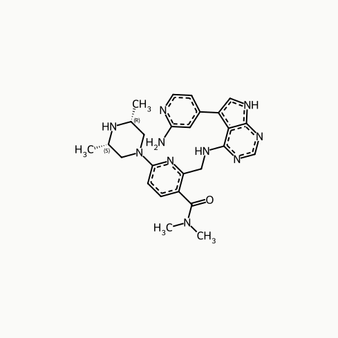 C[C@@H]1CN(c2ccc(C(=O)N(C)C)c(CNc3ncnc4[nH]cc(-c5ccnc(N)c5)c34)n2)C[C@H](C)N1